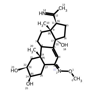 CO/N=C1\C=C2C(CC[C@]3(C)[C@@H](C(C)=N)CC[C@@]23O)[C@@]2(C)C[C@H](O)[C@H](O)CC12